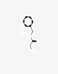 CCC(=O)[N]Cc1ccccc1.[KH]